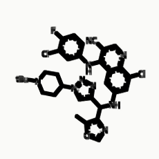 Cc1ocnc1C(Nc1cc(Cl)c2ncc(C#N)c(Nc3ccc(F)c(Cl)c3)c2c1)c1cn(C2CCN(C(C)(C)C)CC2)nn1